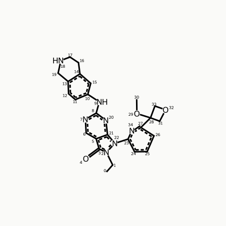 CCn1c(=O)c2cnc(Nc3ccc4c(c3)CCNC4)nc2n1-c1cccc(C2(OC)COC2)n1